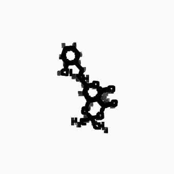 Cc1ccccc1CNc1cc2c(c(=O)o1)C(=O)OC(C)(C)O2